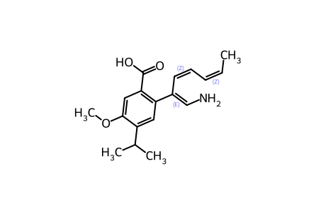 C\C=C/C=C\C(=C/N)c1cc(C(C)C)c(OC)cc1C(=O)O